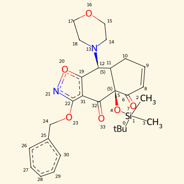 CC(C)(C)[Si](C)(C)O[C@]12C(=O)C=CCC1[C@H](N1CCOCC1)c1onc(OCc3ccccc3)c1C2=O